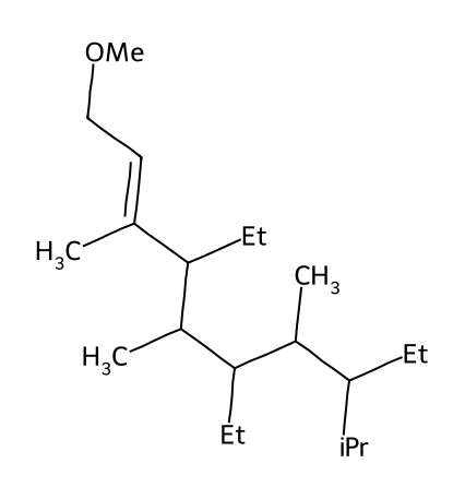 CCC(C(C)=CCOC)C(C)C(CC)C(C)C(CC)C(C)C